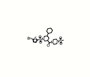 CS(=O)(=O)N1CCN(C(=O)C2CC(C3CCCCC3)CN(S(=O)(=O)c3ccc(Br)s3)C2)CC1